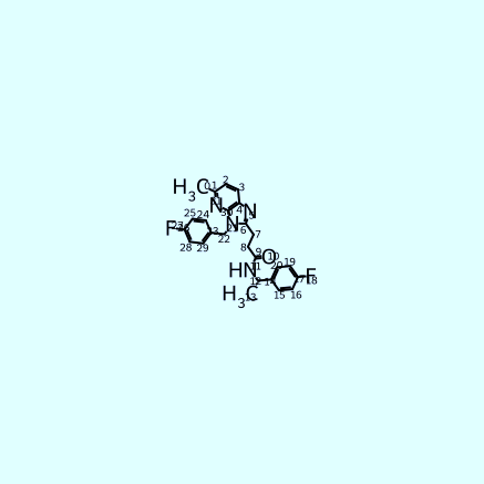 Cc1ccc2nc(CCC(=O)N[C@@H](C)c3ccc(F)cc3)n(Cc3ccc(F)cc3)c2n1